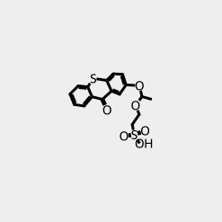 CC(OCCS(=O)(=O)O)Oc1ccc2sc3ccccc3c(=O)c2c1